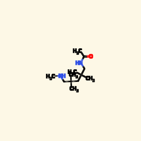 CNCC(C)(C)CC(C)(C)CNC(C)=O